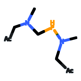 CC(=O)CN(C)CPN(C)CC(C)=O